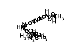 CNC(=O)CCC(C=O)Nc1ccc(N2CCC(N3CCN(c4ccc(-c5cnc6[nH]nc(-c7ccc([C@@H](C)NC(=O)c8noc(C(C)(C)C)n8)c(C)c7)c6c5)cc4)CC3)CC2)cc1